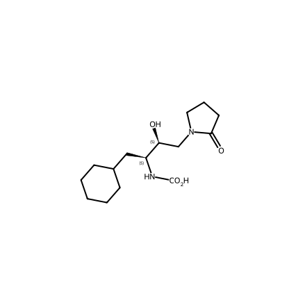 O=C(O)N[C@@H](CC1CCCCC1)[C@@H](O)CN1CCCC1=O